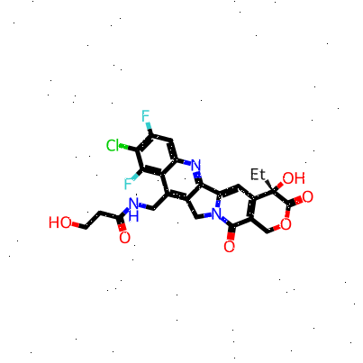 CC[C@@]1(O)C(=O)OCc2c1cc1n(c2=O)Cc2c-1nc1cc(F)c(Cl)c(F)c1c2CNC(=O)CCO